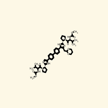 COC(=O)NC(C(=O)N1CCC[C@H]1c1ncc(-c2ccc(-c3ccc(-c4[nH]c([C@@H]5CCCN5C(=O)[C@@H](NC(=O)OC)C(C)C)nc4CC4OCCCO4)cc3)cc2)[nH]1)C(C)C